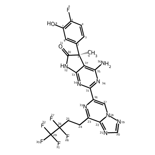 C[C@@]1(c2ccc(F)c(O)c2)C(=O)Nc2nc(-c3cn4ncnc4c(CCC(F)(F)C(F)(F)F)n3)nc(N)c21